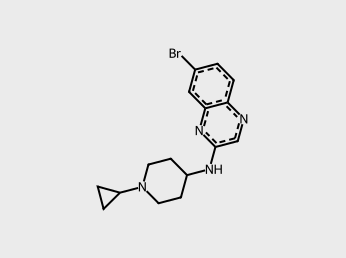 Brc1ccc2ncc(NC3CCN(C4CC4)CC3)nc2c1